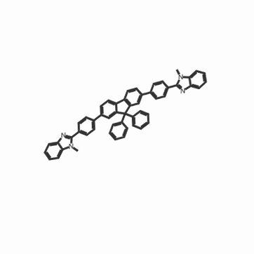 Cn1c(-c2ccc(-c3ccc4c(c3)C(c3ccccc3)(c3ccccc3)c3cc(-c5ccc(-c6nc7ccccc7n6C)cc5)ccc3-4)cc2)nc2ccccc21